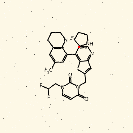 O=c1ccn(CC(F)F)c(=O)n1Cc1cc2nccc(-c3cc(C(F)(F)F)cc4c3N([C@@H]3CCNC3)CCC4)c2s1